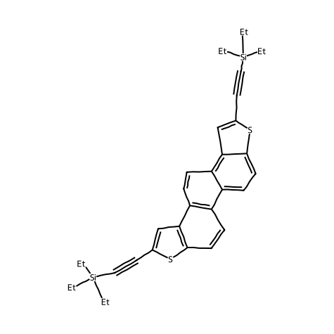 CC[Si](C#Cc1cc2c(ccc3c2ccc2c4cc(C#C[Si](CC)(CC)CC)sc4ccc23)s1)(CC)CC